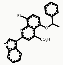 CCc1ccc(OC(C)c2ccccc2)c2c(C(=O)O)cc(-c3coc4ccccc34)nc12